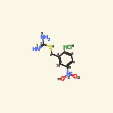 Cl.N=C(N)SCc1cccc([N+](=O)[O-])c1